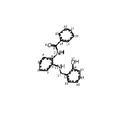 O=C(Nc1ccccc1NCc1ccccc1O)c1ccccc1